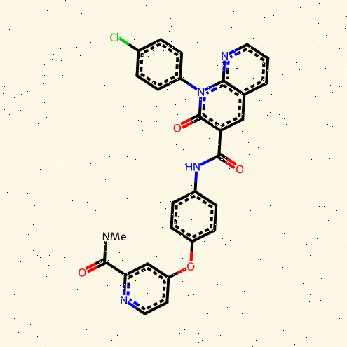 CNC(=O)c1cc(Oc2ccc(NC(=O)c3cc4cccnc4n(-c4ccc(Cl)cc4)c3=O)cc2)ccn1